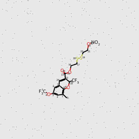 Cc1cc(OC(F)(F)F)cc2c1OC(C(F)(F)F)C(C(=O)OCCSSCCO[N+](=O)[O-])=C2